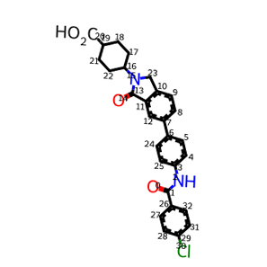 O=C(Nc1ccc(-c2ccc3c(c2)C(=O)N(C2CCC(C(=O)O)CC2)C3)cc1)c1ccc(Cl)cc1